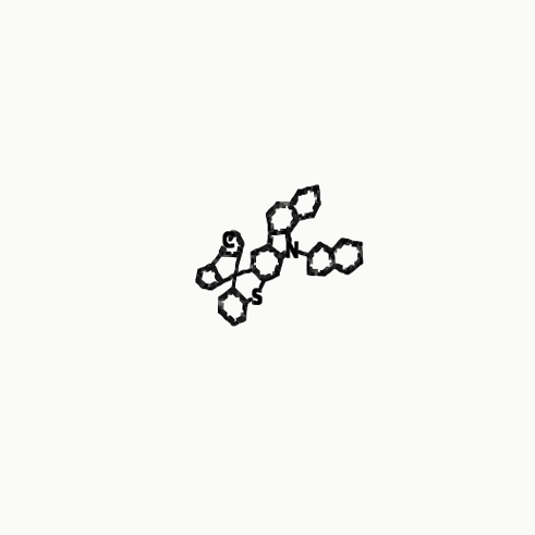 c1ccc2c(c1)Sc1cc3c(cc1C21c2ccccc2-c2ccccc21)c1ccc2ccccc2c1n3-c1ccc2ccccc2c1